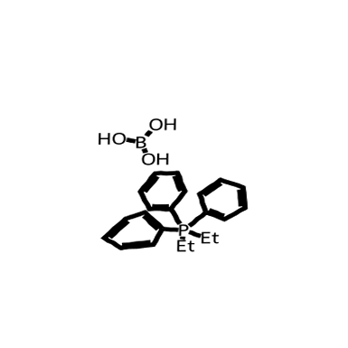 CCP(CC)(c1ccccc1)(c1ccccc1)c1ccccc1.OB(O)O